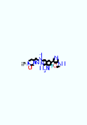 CC(C)N1CCc2cc(Nc3cc4cc(-c5cncc6c5OCCN6)c(F)c(N)c4cn3)nn2CC1=O